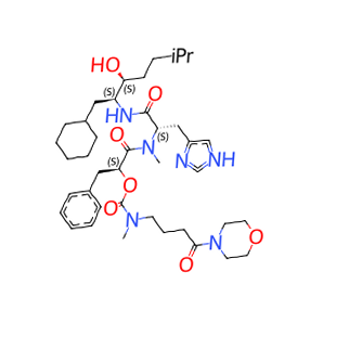 CC(C)CC[C@H](O)[C@H](CC1CCCCC1)NC(=O)[C@H](Cc1c[nH]cn1)N(C)C(=O)[C@H](Cc1ccccc1)OC(=O)N(C)CCCC(=O)N1CCOCC1